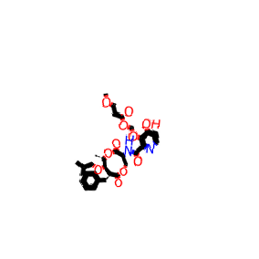 COCCC(=O)OCOc1c(O)ccnc1C(=O)NC1COC(=O)[C@H](Cc2ccccc2)C(OCC(C)C)[C@H](C)OC1=O